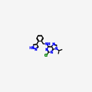 CC(C)n1cnc2c(NCc3ccccc3-c3cn[nH]c3)nc(Cl)nc21